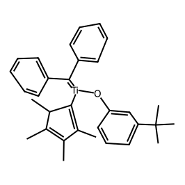 CC1=C(C)C(C)[C]([Ti]([O]c2cccc(C(C)(C)C)c2)=[C](c2ccccc2)c2ccccc2)=C1C